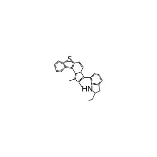 CCC1Cc2cccc(C3=C(C)C(C)=C4c5c(sc6ccccc56)C=CC34)c2N1